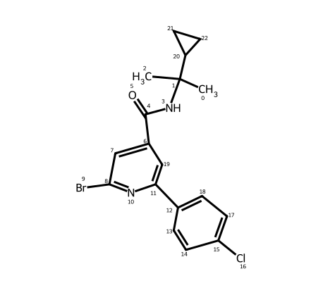 CC(C)(NC(=O)c1cc(Br)nc(-c2ccc(Cl)cc2)c1)C1CC1